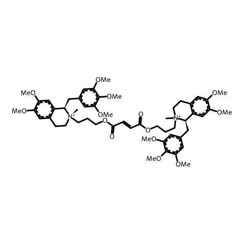 COc1cc2c(cc1OC)[C@@H](Cc1cc(OC)c(OC)c(OC)c1)[N+](C)(CCCOC(=O)/C=C/C(=O)OCCC[N@+]1(C)CCc3cc(OC)c(OC)cc3[C@H]1Cc1cc(OC)c(OC)c(OC)c1)CC2